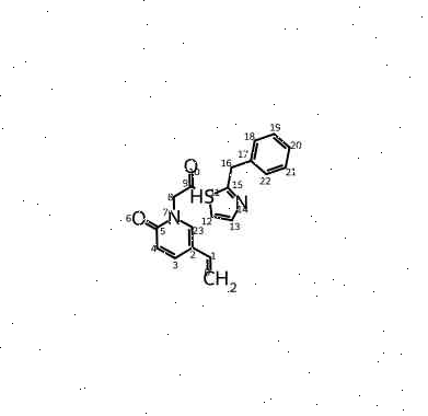 C=Cc1ccc(=O)n(CC(=O)[SH]2C=CN=C2Cc2ccccc2)c1